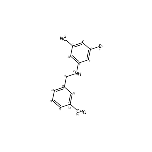 N#Cc1cc(Br)cc(NCc2cccc(C=O)c2)c1